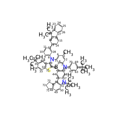 Cc1cc2c3c(c1)N(c1cccc(-c4ccc5c(c4)C(C)(C)c4ccccc4-5)c1)c1c(sc4ccc(C(C)(C)C)cc14)B3c1cc3c4c5c(ccc4n(C(C)(C)C)c3cc1N2c1ccc(C(C)(C)C)cc1)CCC5